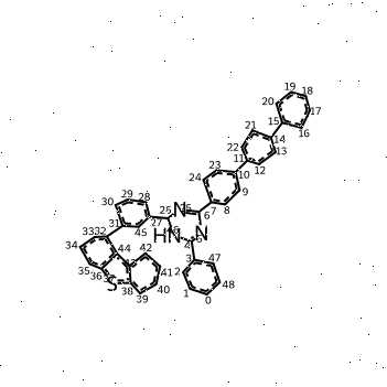 c1ccc(C2=NC(c3ccc(-c4ccc(-c5ccccc5)cc4)cc3)=NC(c3cccc(-c4cccc5sc6ccccc6c45)c3)N2)cc1